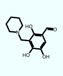 O=Cc1cc(O)c(O)c(CN2CCCCC2)c1O